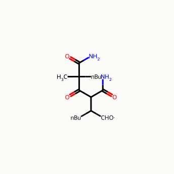 CCCCC([C]=O)C(C(N)=O)C(=O)C(C)(CCCC)C(N)=O